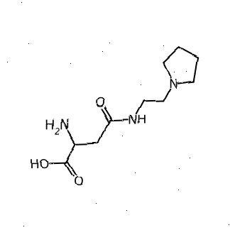 NC(CC(=O)NCCN1CCCC1)C(=O)O